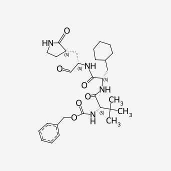 CC(C)(C)[C@H](NC(=O)OCc1ccccc1)C(=O)N[C@@H](CC1CCCCC1)C(=O)N[C@H](C=O)C[C@@H]1CCNC1=O